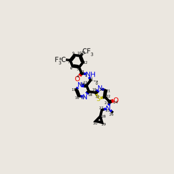 C[C@@H](NC(=O)c1cc(C(F)(F)F)cc(C(F)(F)F)c1)c1nccnc1-c1ncc(C(=O)N(C)CC2CC2)s1